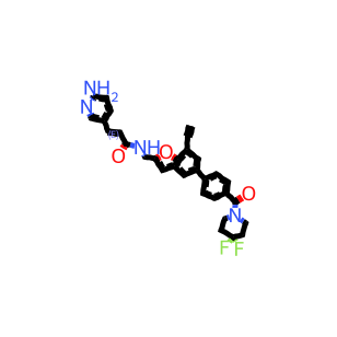 C#Cc1cc(-c2ccc(C(=O)N3CCC(F)(F)CC3)cc2)cc2cc(CNC(=O)/C=C/c3ccc(N)nc3)oc12